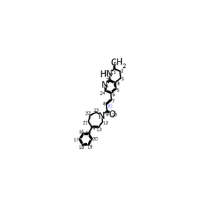 C=C1CCc2cc(/C=C/C(=O)N3CC=C(c4ccccc4)CCC3)cnc2N1